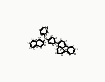 c1cncc(N(c2ccc(-c3ccc4c5c(cccc35)-c3ccccc3-4)cc2)c2ccc3ccccc3c2)c1